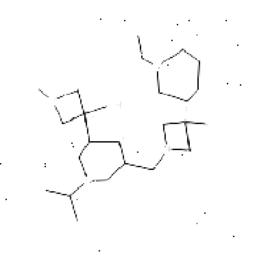 CCN1CCC[C@H](C2(O)CN(CC3CC(C4(O)CN(C)C4)CN(C(C)C)C3)C2)C1